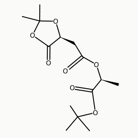 C[C@H](OC(=O)C[C@@H]1OC(C)(C)OC1=O)C(=O)OC(C)(C)C